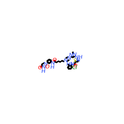 Cc1nc(Nc2ncc(C(=O)Nc3c(C)cccc3Cl)s2)cc(N2CCN(CCCCCC(=O)Nc3cccc(N4CCC(=O)NC4=O)c3)CC2)n1